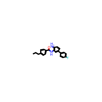 CCCc1ccc(C(=O)Nc2cc(-c3ccc(F)cc3)ccc2N)cc1